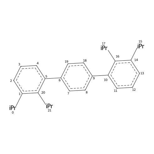 CC(C)c1cccc(-c2ccc(-c3cccc(C(C)C)c3C(C)C)cc2)c1C(C)C